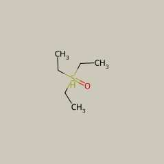 CC[SH](=O)(CC)CC